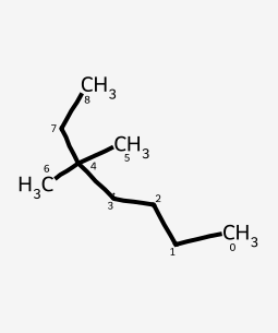 CCC[CH]C(C)(C)CC